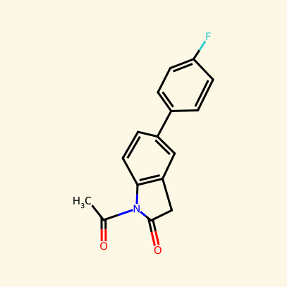 CC(=O)N1C(=O)Cc2cc(-c3ccc(F)cc3)ccc21